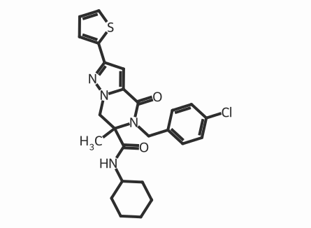 CC1(C(=O)NC2CCCCC2)Cn2nc(-c3cccs3)cc2C(=O)N1Cc1ccc(Cl)cc1